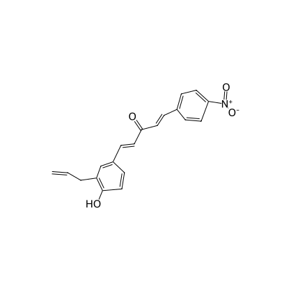 C=CCc1cc(/C=C/C(=O)/C=C/c2ccc([N+](=O)[O-])cc2)ccc1O